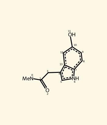 CNC(=O)Cc1c[nH]c2ccc(O)cc12